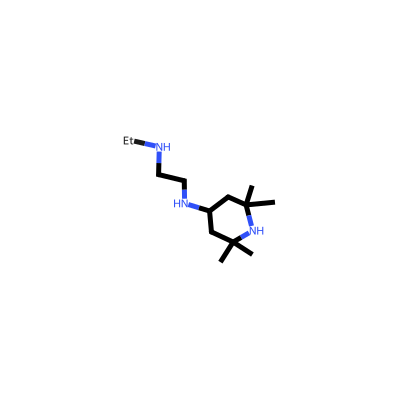 CCNCCNC1CC(C)(C)NC(C)(C)C1